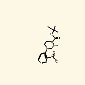 C[C@H]1CN(c2ccncc2[N+](=O)[O-])CCN1C(=O)OC(C)(C)C